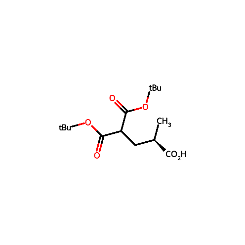 C[C@H](CC(C(=O)OC(C)(C)C)C(=O)OC(C)(C)C)C(=O)O